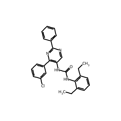 CCc1cccc(CC)c1NC(=O)Nc1cnc(-c2ccccc2)nc1-c1cccc(Cl)c1